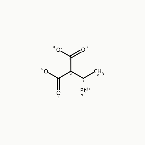 CCC(C(=O)[O-])C(=O)[O-].[Pt+2]